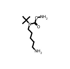 CC(C)(C)N(CCCCCN)C(=O)ON